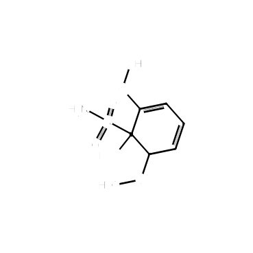 COC1=CC=CC(OC)C1(C)S(N)(=O)=O